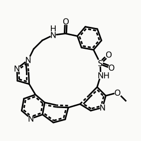 COc1ncc2cc1NS(=O)(=O)c1cccc(c1)C(=O)NCCn1cc(cn1)-c1ccnc3ccc-2cc13